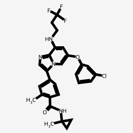 Cc1cc(-c2cnc3c(NCCC(F)(F)F)cc(Oc4cccc(Cl)c4)cn23)ccc1C(=O)NC1(C)CC1